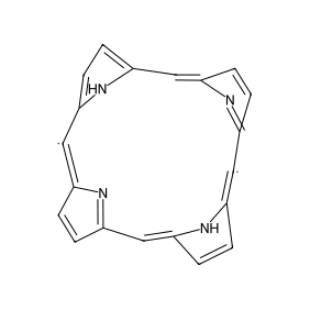 [c]1c2nc(cc3ccc([c]c4nc(cc5ccc1[nH]5)C=C4)[nH]3)C=C2